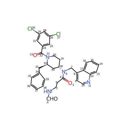 O=CNCCC(=O)N(Cc1ccnc2ccccc12)[C@H]1CCN(C(=O)c2cc(Cl)cc(Cl)c2)[C@H](Cc2ccccc2)C1